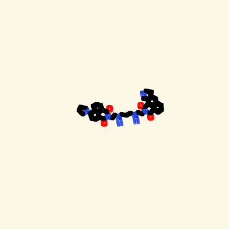 O=C1c2cccc3cc4ccncc4c(c23)C(=O)N1CCNCCCNCCN1C(=O)c2cccc3c(N4CCCC4)ccc(c23)C1=O